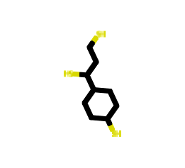 SCCC(S)C1CCC(S)CC1